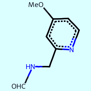 COc1ccnc(CNC=O)c1